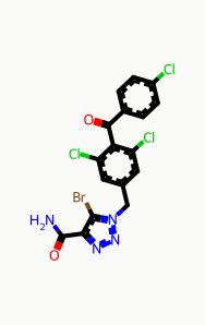 NC(=O)c1nnn(Cc2cc(Cl)c(C(=O)c3ccc(Cl)cc3)c(Cl)c2)c1Br